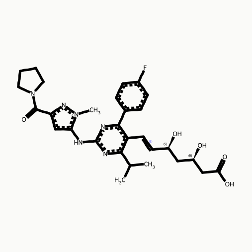 CC(C)c1nc(Nc2cc(C(=O)N3CCCC3)nn2C)nc(-c2ccc(F)cc2)c1/C=C/[C@@H](O)C[C@@H](O)CC(=O)O